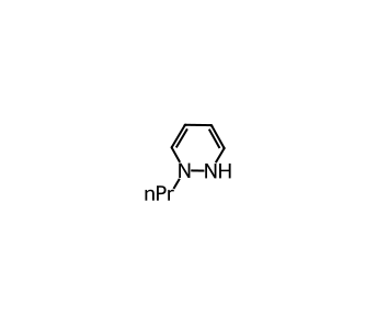 CCCN1C=CC=CN1